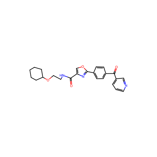 O=C(c1ccc(-c2nc(C(=O)NCCOC3CCCCC3)co2)cc1)c1cccnc1